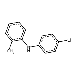 Cc1ccccc1Nc1ccc(Cl)cc1